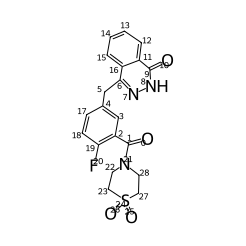 O=C(c1cc(Cc2n[nH]c(=O)c3ccccc23)ccc1F)N1CCS(=O)(=O)CC1